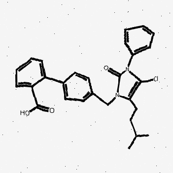 CC(C)CCc1c(Cl)n(-c2ccccc2)c(=O)n1Cc1ccc(-c2ccccc2C(=O)O)cc1